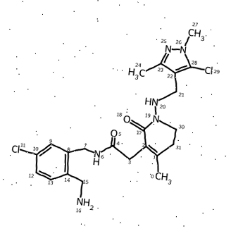 CC1=C(CC(=O)NCc2cc(Cl)ccc2CN)C(=O)N(NCc2c(C)nn(C)c2Cl)CC1